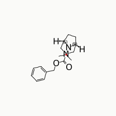 CC(C)N1[C@@H]2CC[C@H]1CN(C(=O)OCc1ccccc1)C2